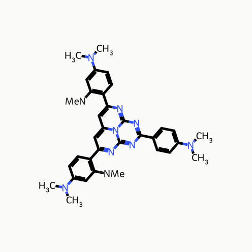 CNc1cc(N(C)C)ccc1C1=CC2=CC(c3ccc(N(C)C)cc3NC)=NC3=NC(c4ccc(N(C)C)cc4)=NC(=N1)N23